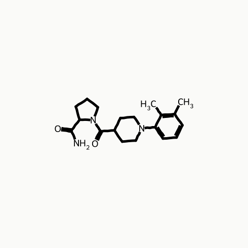 Cc1cccc(N2CCC(C(=O)N3CCCC3C(N)=O)CC2)c1C